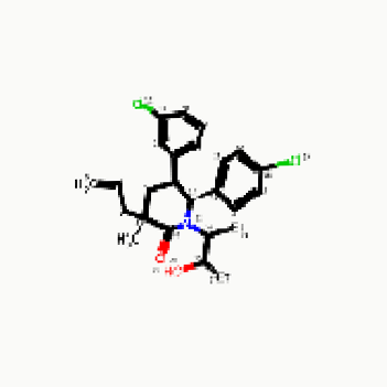 C=CC[C@@]1(C)CC(c2cccc(Cl)c2)[C@@H](c2ccc(Cl)cc2)N(C(CC)C(O)CC)C1=O